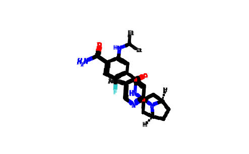 CCC(CC)Nc1cc(C(=O)N[C@H]2C[C@H]3CC[C@@H](C2)N3c2ccc(C(C)=O)cn2)c(F)cc1C(N)=O